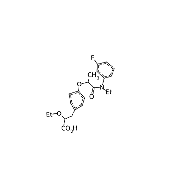 CCOC(Cc1ccc(OC(C)C(=O)N(CC)c2cccc(F)c2)cc1)C(=O)O